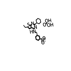 CCc1cc2c(NCc3cccc([N+](=O)[O-])c3)nc(C3CCCCC3)nc2s1.O=C(O)O